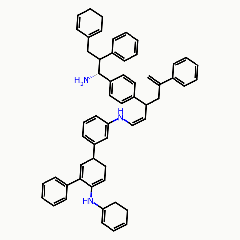 C=C(CC(/C=C\Nc1cccc(C2C=C(c3ccccc3)C(NC3=CC=CCC3)=CC2)c1)c1ccc([C@H](N)C(CC2=CCCC=C2)c2ccccc2)cc1)c1ccccc1